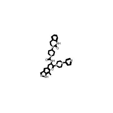 Cc1cc(CC(NC(=O)N2CCC(N3CCc4ccccc4NC3=O)CC2)C(=O)N2CCN(c3ccncc3)CC2)cc2cn[nH]c12